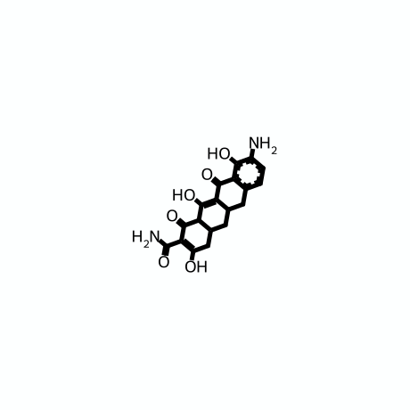 NC(=O)C1=C(O)CC2CC3Cc4ccc(N)c(O)c4C(=O)C3=C(O)C2C1=O